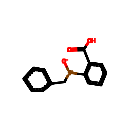 O=C(O)c1ccccc1[S+]([O-])Cc1ccccc1